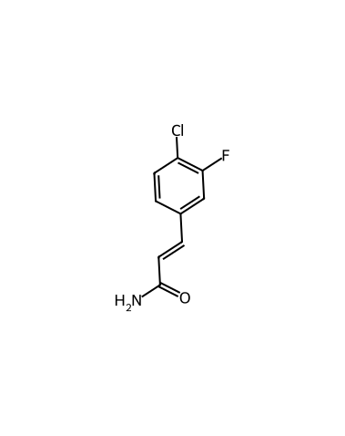 NC(=O)/C=C/c1ccc(Cl)c(F)c1